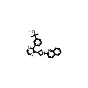 CC(C)(O)c1cccc(-c2nccnc2C2CN(c3ccc4ccccc4n3)C2)c1